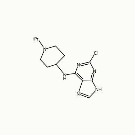 CC(C)N1CCC(Nc2nc(Cl)nc3[nH]cnc23)CC1